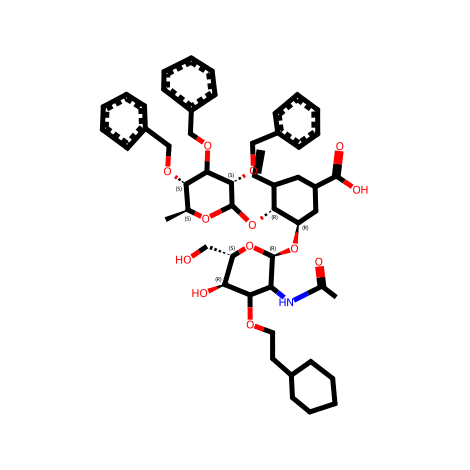 C=CC1CC(C(=O)O)C[C@@H](O[C@@H]2O[C@@H](CO)[C@H](O)C(OCCC3CCCCC3)C2NC(C)=O)[C@@H]1OC1O[C@@H](C)[C@H](OCc2ccccc2)C(OCc2ccccc2)[C@@H]1OCc1ccccc1